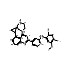 COc1cc(Nc2cc(-c3nc(N4CCNCC4)c4c(C5CC5)cncc4n3)ccn2)c(F)cc1F